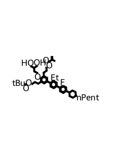 C=C(C)C(=O)OCCCc1cc(-c2ccc(-c3ccc(C4CCC(CCCCC)CC4)cc3F)cc2CC)cc(CCCOC(=O)C(C)(C)C)c1OCCC(CO)CO